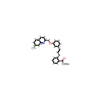 COC(=O)c1ccccc1CC=Cc1cccc(OCc2ccc3ccc(Cl)cc3n2)c1